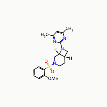 COc1ccccc1S(=O)(=O)N1CC[C@H]2CN(c3nc(C)cc(C)n3)[C@H]2C1